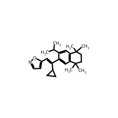 CC(C)c1cc2c(cc1C(=Cc1ccno1)C1CC1)C(C)(C)CCC2(C)C